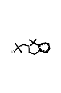 CC(C)(O)CN1CCc2c[c]ccc2C1(C)C